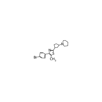 Cc1sc(C2CCC(N3CCCCC3)C2)nc1-c1ccc(Br)cc1